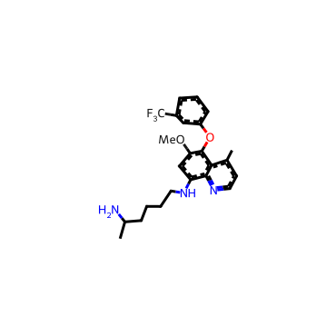 COc1cc(NCCCCC(C)N)c2nccc(C)c2c1Oc1cccc(C(F)(F)F)c1